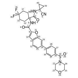 N#CC1(NC(=O)C2(NC(=O)c3cc4ccc(-c5ccc([S+]([O-])N6CCOCC6)cc5)cc4o3)CCC(F)(F)CC2)CC1